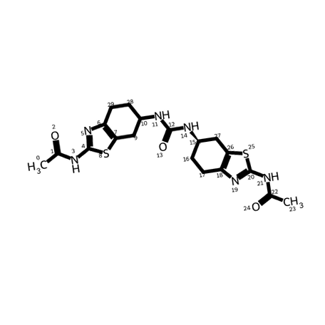 CC(=O)Nc1nc2c(s1)CC(NC(=O)N[C@@H]1CCc3nc(NC(C)=O)sc3C1)CC2